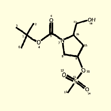 CC(C)(C)OC(=O)N1CC(OS(C)(=O)=O)CC1CO